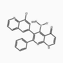 CN[S+]([O-])c1c(-c2cc(Cl)c3ncccc3c2)c(-c2ccccc2)nc2[nH]ccc(=O)c12